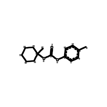 Cc1ccc(OC(=O)OC2(C)CCCCC2)cc1